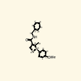 COc1ccc(-n2ncc(C(=O)NCc3ccccc3)c2C)cc1